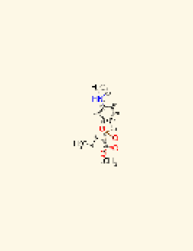 CCCC(C(=O)OC)S(=O)(=O)Cc1ccc(NCC)cc1